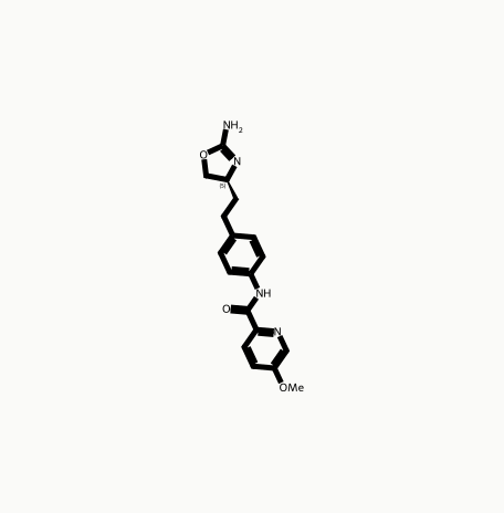 COc1ccc(C(=O)Nc2ccc(CC[C@H]3COC(N)=N3)cc2)nc1